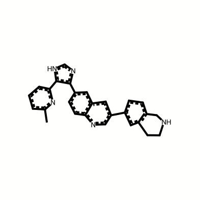 Cc1cccc(-c2[nH]cnc2-c2ccc3ncc(-c4ccc5c(c4)CCNC5)cc3c2)n1